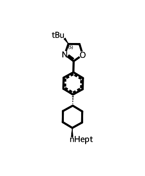 CCCCCCC[C@H]1CC[C@H](c2ccc(C3=N[C@@H](C(C)(C)C)CO3)cc2)CC1